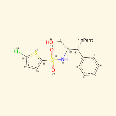 CCCCC[C@H](c1ccccc1)[C@@H](CO)NS(=O)(=O)c1ccc(Cl)s1